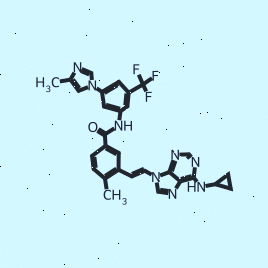 Cc1cn(-c2cc(NC(=O)c3ccc(C)c(/C=C/n4cnc5c(NC6CC6)ncnc54)c3)cc(C(F)(F)F)c2)cn1